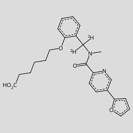 [2H]C([2H])(c1ccccc1OCCCCCC(=O)O)N(C)C(=O)c1ccc(-c2ccco2)cn1